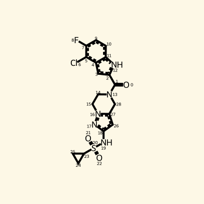 O=C(c1cc2c(Cl)c(F)ccc2[nH]1)N1CCn2nc(NS(=O)(=O)C3CC3)cc2C1